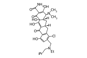 CCN(Cc1cc(O)c2c(c1Cl)C[C@H]1C[C@H]3[C@H](N(C)C)C(O)=C(C(N)=O)C(=O)C3(O)C(O)=C1C2=O)CC(C)C